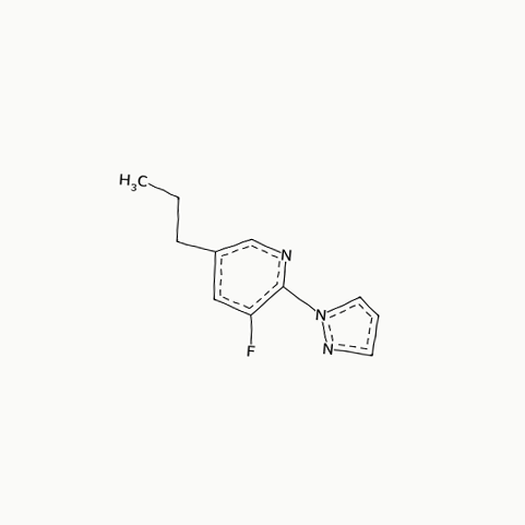 CCCc1cnc(-n2cccn2)c(F)c1